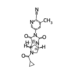 Cc1cc(N2C(=O)[C@@H]3[C@@H]4C[C@@H](CN4C(=O)C4CC4)N3C2=O)cnc1C#N